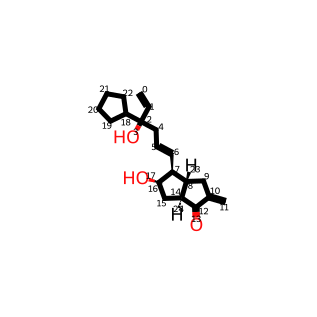 C=CC(O)(C/C=C/[C@H]1[C@@H]2CC(=C)C(=O)[C@H]2C[C@H]1O)C1CCCC1